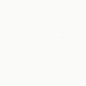 N#Cc1ccccc1CN1C(=O)N2CCCCN2C=C1N1CCC[C@@H](N)C1